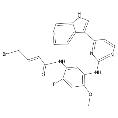 COc1cc(F)c(NC(=O)/C=C/CBr)cc1Nc1nccc(-c2c[nH]c3ccccc23)n1